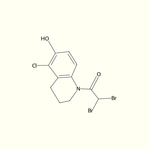 O=C(C(Br)Br)N1CCCc2c1ccc(O)c2Cl